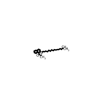 COC(=O)c1c(OCCCCCCCCCCCCCCC(C)C)ccc2ccccc12